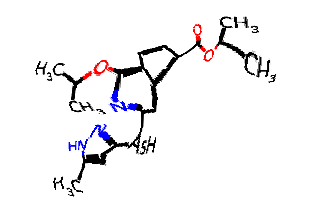 Cc1cc([AsH]c2cc3cc(C(=O)OC(C)C)ccc3c(OC(C)C)n2)n[nH]1